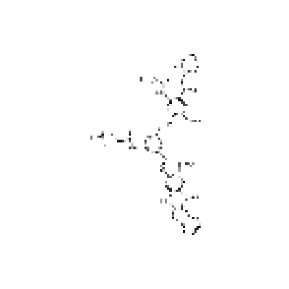 COc1cc2c(cc1OCc1cc(COc3cc4c(cc3OC)C(=O)N3c5ccccc5CC3C(S(=O)(=O)O)N4)cc(NC(=O)CCC(C)(C)S)c1)NC1Cc3ccccc3N1C2=O